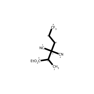 CCOC(=O)C(C)C(C#N)(C#N)CCC(F)(F)F